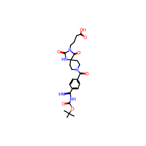 CC(C)(C)OC(=O)NC(=N)c1ccc(C(=O)N2CCC3(CC2)NC(=O)N(CCCC(=O)O)C3=O)cc1